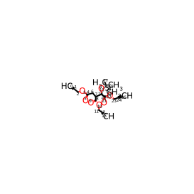 C#CCOC(=O)CC(C(=O)OCC#C)C(O[Si](C)(C)C)C(=O)OCC#C